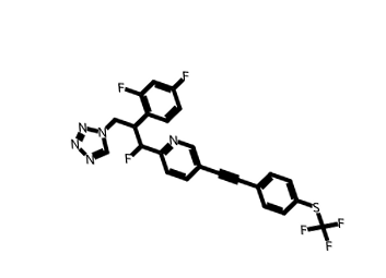 Fc1ccc(C(Cn2cnnn2)C(F)c2ccc(C#Cc3ccc(SC(F)(F)F)cc3)cn2)c(F)c1